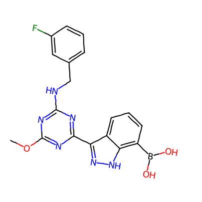 COc1nc(NCc2cccc(F)c2)nc(-c2n[nH]c3c(B(O)O)cccc23)n1